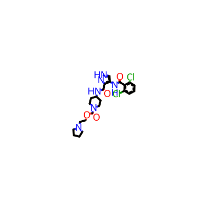 O=C(NC1CCN(C(=O)OCCN2CCCC2)CC1)c1n[nH]cc1NC(=O)c1c(Cl)cccc1Cl